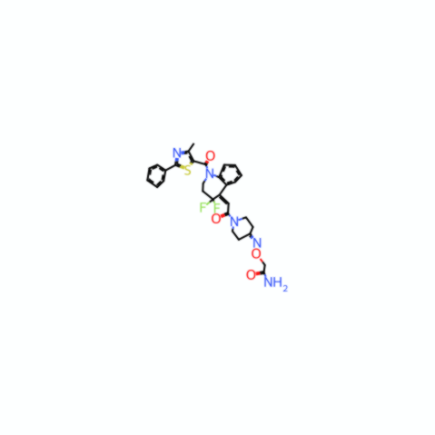 Cc1nc(-c2ccccc2)sc1C(=O)N1CCC(F)(F)/C(=C\C(=O)N2CCC(=NOCC(N)=O)CC2)c2ccccc21